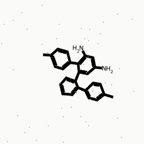 Cc1ccc(-c2ccccc2-c2cc(N)cc(N)c2-c2ccc(C)cc2)cc1